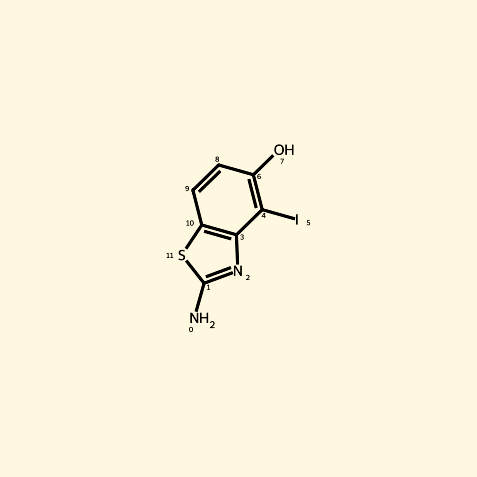 Nc1nc2c(I)c(O)ccc2s1